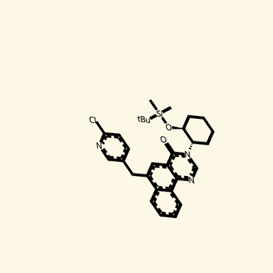 CC(C)(C)[Si](C)(C)O[C@H]1CCCC[C@@H]1n1cnc2c(cc(Cc3ccc(Cl)nc3)c3ccccc32)c1=O